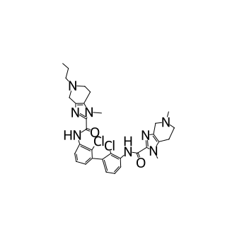 CCCN1CCc2c(nc(C(=O)Nc3cccc(-c4cccc(NC(=O)c5nc6c(n5C)CCN(C)C6)c4Cl)c3Cl)n2C)C1